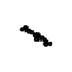 Cc1oc(-c2ccccc2)nc1COc1ccc(COc2nn(Cc3ccc(OCc4nc(-c5ccccc5)oc4C)cc3)cc2CO)cc1